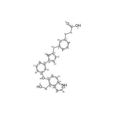 O=C(O)CCc1cccc(Cc2csc(-c3cccc(Oc4ccc5[nH]ccc5c4CO)c3)n2)c1